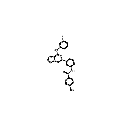 CC(C)(C)c1ccc(C(=O)Nc2cccc(-c3cn4ccnc4c(Nc4cccc(F)c4)n3)c2)cc1